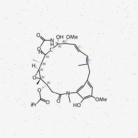 COc1cc2cc(c1O)N(C)C(=O)C[C@H](OC(=O)C(C)C)[C@]1(C)O[C@H]1[C@H](C)[C@@H]1C[C@@](O)(NC(=O)O1)[C@H](OC)/C=C/C=C(\C)C2